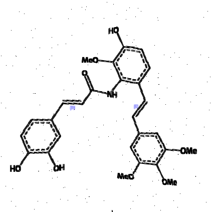 COc1cc(/C=C/c2ccc(O)c(OC)c2NC(=O)/C=C/c2ccc(O)c(O)c2)cc(OC)c1OC